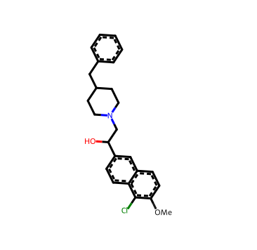 COc1ccc2cc(C(O)CN3CCC(Cc4ccccc4)CC3)ccc2c1Cl